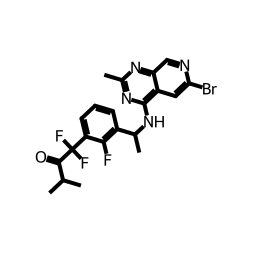 Cc1nc(NC(C)c2cccc(C(F)(F)C(=O)C(C)C)c2F)c2cc(Br)ncc2n1